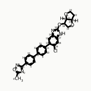 Cc1nc(-c2ccc(-c3ccc(-c4cc5nc(OC6CO[C@@H]7CCO[C@H]67)[nH]c5cc4Cl)cc3)cc2)no1